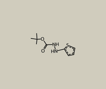 CC(C)(C)OC(=O)NNc1cccs1